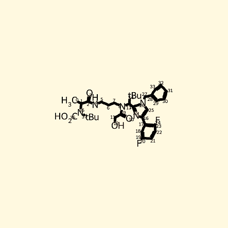 CC(C(=O)NCCCN(C(=O)CO)C(c1nc(-c2cc(F)ccc2F)cn1Cc1ccccc1)C(C)(C)C)N(C(=O)O)C(C)(C)C